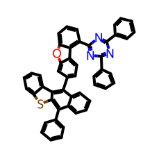 c1ccc(-c2nc(-c3ccccc3)nc(-c3cccc4oc5cc(-c6c7ccccc7c(-c7ccccc7)c7sc8ccccc8c67)ccc5c34)n2)cc1